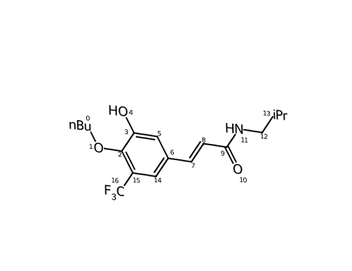 CCCCOc1c(O)cc(/C=C/C(=O)NCC(C)C)cc1C(F)(F)F